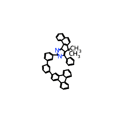 CC1(C)c2ccc3ccccc3c2-c2nc(-c3cccc(-c4cccc(-c5ccc6c7ccccc7c7ccccc7c6c5)c4)c3)nc(-c3ccccc3)c21